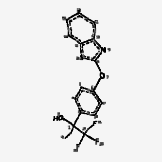 CC(O)(c1ccc(Oc2nc3ccccc3s2)cc1)C(F)(F)F